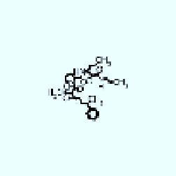 C=CCNC(=O)C(=O)C(CCC)NC(=O)C1CCCN1C(=O)C(CCCC(C)c1ccccc1)C(C)(C)C